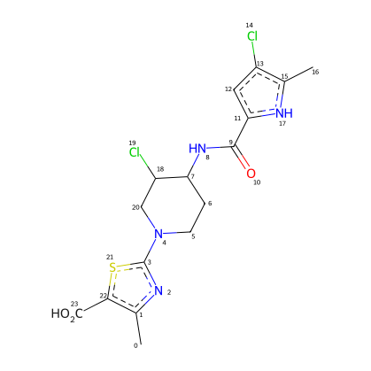 Cc1nc(N2CCC(NC(=O)c3cc(Cl)c(C)[nH]3)C(Cl)C2)sc1C(=O)O